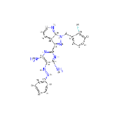 Nc1nc(-c2nn(Cc3ccccc3F)c3ncccc23)nc(N)c1/N=N/c1ccccc1